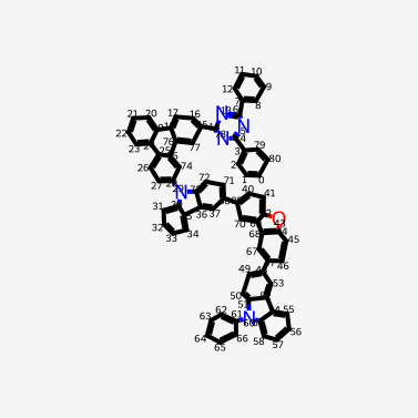 c1ccc(-c2nc(-c3ccccc3)nc(-c3ccc4c5ccccc5c5ccc(-n6c7ccccc7c7cc(-c8ccc9oc%10ccc(-c%11ccc%12c(c%11)c%11ccccc%11n%12-c%11ccccc%11)cc%10c9c8)ccc76)cc5c4c3)n2)cc1